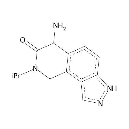 CC(C)N1Cc2c(ccc3[nH]ncc23)C(N)C1=O